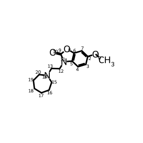 COc1ccc2c(c1)oc(=O)n2CCN1CCCCCC1